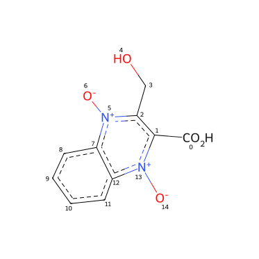 O=C(O)c1c(CO)[n+]([O-])c2ccccc2[n+]1[O-]